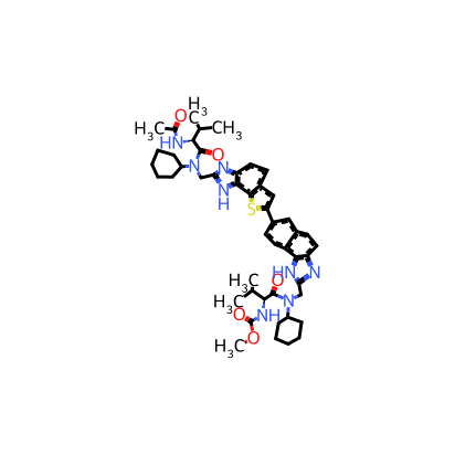 COC(=O)N[C@H](C(=O)N(Cc1nc2ccc3cc(-c4cc5ccc6nc(CN(C(=O)[C@@H](NC(C)=O)C(C)C)C7CCCCC7)[nH]c6c5s4)ccc3c2[nH]1)C1CCCCC1)C(C)C